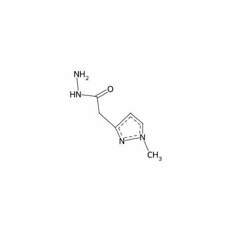 Cn1ccc(CC(=O)NN)n1